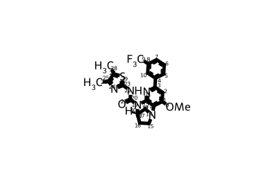 COc1cc(-c2cccc(C(F)(F)F)c2)nc2c1N1CC[C@@H](C1)N2C(=O)Nc1nc(C)c(C)s1